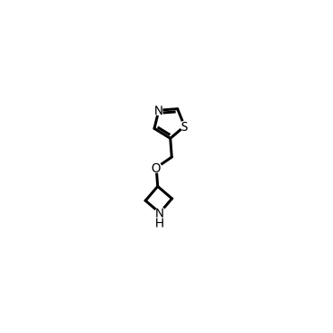 c1ncc(COC2CNC2)s1